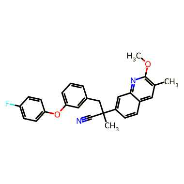 COc1nc2cc(C(C)(C#N)Cc3cccc(Oc4ccc(F)cc4)c3)ccc2cc1C